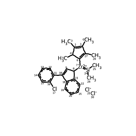 CC1=C(C)C(C)[C]([Zr+2]([CH]2C=C(c3ccccc3Cl)c3ccccc32)=[Si](C)C)=C1C.[Cl-].[Cl-]